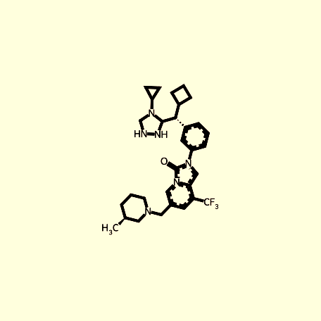 C[C@H]1CCCN(Cc2cc(C(F)(F)F)c3cn(-c4cccc([C@@H](C5CCC5)C5NNCN5C5CC5)c4)c(=O)n3c2)C1